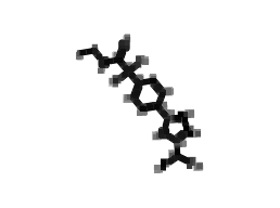 CCOC(=O)C(F)(F)c1ccc(-c2nnc(C(F)F)o2)cc1